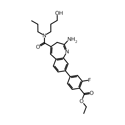 CCCN(CCCO)C(=O)C1=Cc2ccc(-c3ccc(C(=O)OCC)c(F)c3)cc2N=C(N)C1